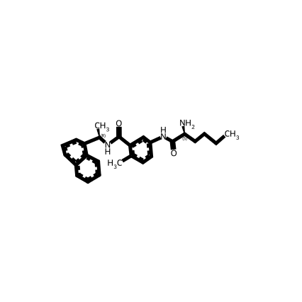 CCCC[C@H](N)C(=O)Nc1ccc(C)c(C(=O)N[C@H](C)c2cccc3ccccc23)c1